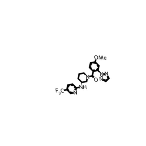 COc1ccc(C(=O)N2CCC[C@@H](Nc3ccc(C(F)(F)F)cn3)C2)c(-n2nccn2)c1